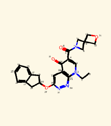 CCn1cc(C(=O)N2CC3(COC3)C2)c(=O)c2cc(OC3Cc4ccccc4C3)nnc21